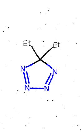 CCC1(CC)N=NN=N1